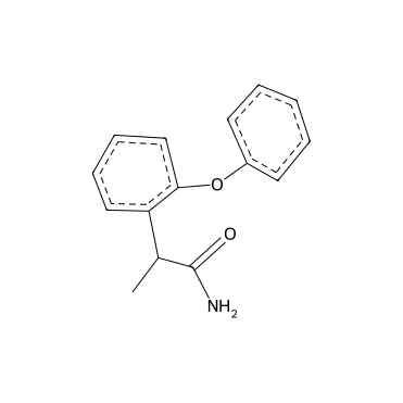 CC(C(N)=O)c1ccccc1Oc1ccccc1